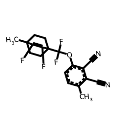 Cc1ccc(OC(F)(F)C23CCC(C)(CC2)C(F)=C3F)c(C#N)c1C#N